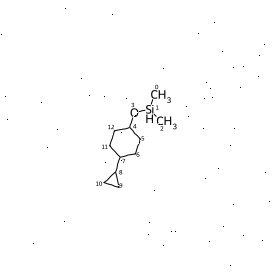 C[SiH](C)OC1CCC(C2CC2)CC1